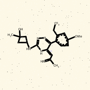 COc1ccc(C2=NN=C(NC3CC(C)(O)C3)N/C2=C\C(C)=N)c(CC(F)(F)F)c1